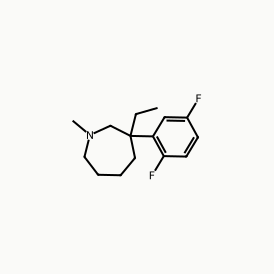 CCC1(c2cc(F)ccc2F)CCCCN(C)C1